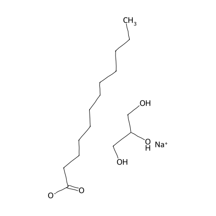 CCCCCCCCCCCC(=O)[O-].OCC(O)CO.[Na+]